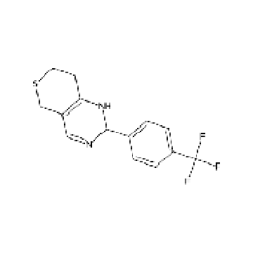 FC(F)(F)c1ccc(C2N=CC3=C(CCSC3)N2)cc1